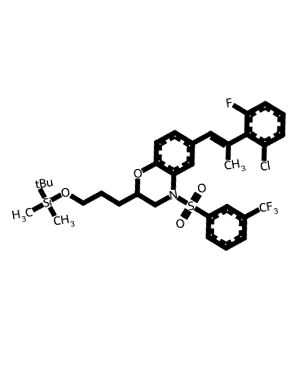 CC(=Cc1ccc2c(c1)N(S(=O)(=O)c1cccc(C(F)(F)F)c1)CC(CCCO[Si](C)(C)C(C)(C)C)O2)c1c(F)cccc1Cl